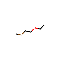 [CH2]COCCSC